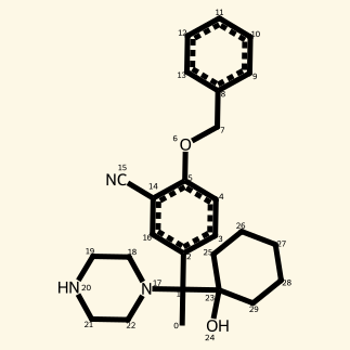 CC(c1ccc(OCc2ccccc2)c(C#N)c1)(N1CCNCC1)C1(O)CCCCC1